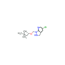 C[Si](C)(C)CCOCN1NCc2cc(Br)cnc21